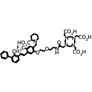 Cc1c(/C=C/c2cc(OCCOCCNC(=O)CN3CN(CC(=O)O)CN(CC(=O)O)CN(CC(=O)O)C3)c(CN3CCCC[C@H]3C(=O)O)cc2C(F)(F)F)cccc1-c1ccccc1